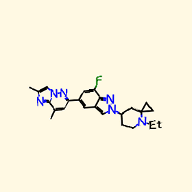 CCN1CCC(n2cc3cc(-c4cc(C)c5nc(C)cn5n4)cc(F)c3n2)CC12CC2